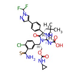 CC(C)(C)C[C@]1(c2ccc(-c3cnn(C(F)F)c3)cc2)N/C(=N\C(=O)O)N([C@H](COC(=O)NC2CC2)c2ccc(Cl)c(C(N)=S)c2)C1=O